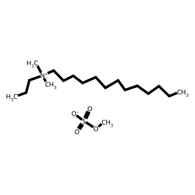 CCCCCCCCCCCCC[N+](C)(C)CCC.COS(=O)(=O)[O-]